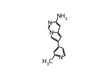 Cc1cc(-c2cc3cc(N)ncn3c2)ccn1